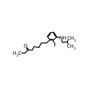 CCC(=O)CCCCCc1cccc(NCC(C)C)c1F